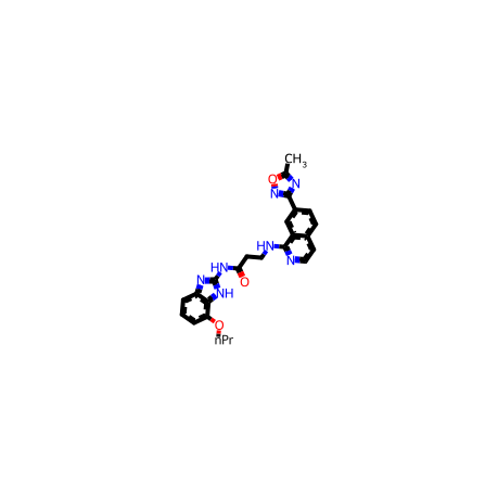 CCCOc1cccc2nc(NC(=O)CCNc3nccc4ccc(-c5noc(C)n5)cc34)[nH]c12